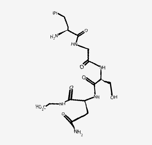 CC(C)C[C@H](N)C(=O)NCC(=O)N[C@@H](CO)C(=O)N[C@@H](CC(N)=O)C(=O)NCC(=O)O